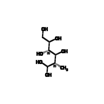 C[C@H](C(O)O)C(O)[C@H](O)C(O)CO